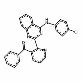 O=C(c1ccccc1)c1cccnc1-c1nc(Nc2ccc(Cl)cc2)c2ccccc2n1